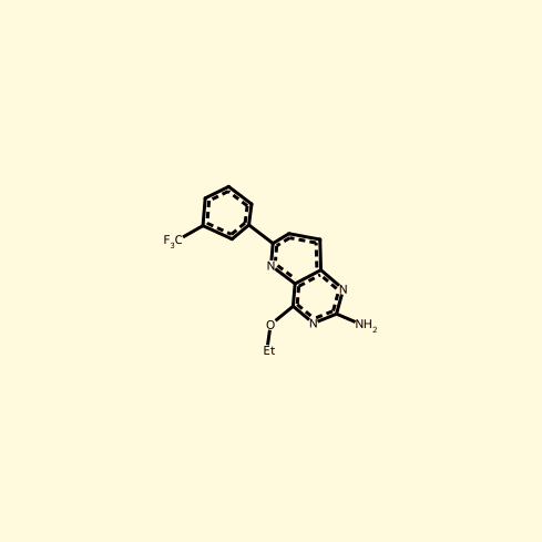 CCOc1nc(N)nc2ccc(-c3cccc(C(F)(F)F)c3)nc12